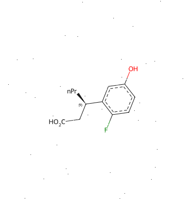 CCC[C@H](CC(=O)O)c1cc(O)ccc1F